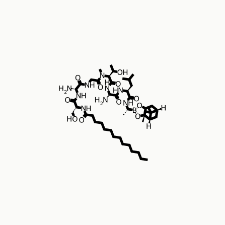 CCCCCCCCCCCCCC(=O)N[C@H](CO)C(=O)N[C@H](N)C(=O)NCC(=O)N(C)[C@H](C(=O)N[C@@H](N)C(=O)N[C@@H](CC(C)C)C(=O)N[C@@H](C)B1OC2C[C@@H]3C[C@@H](C3(C)C)[C@]2(C)O1)C(C)O